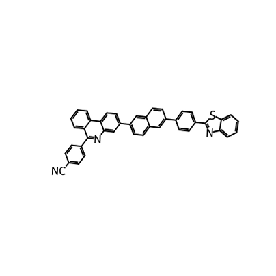 N#Cc1ccc(-c2nc3cc(-c4ccc5cc(-c6ccc(-c7nc8ccccc8s7)cc6)ccc5c4)ccc3c3ccccc23)cc1